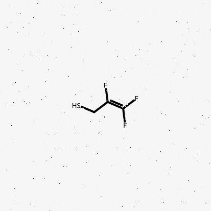 FC(F)=C(F)CS